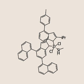 CC1=Cc2c(-c3cccc4ccccc34)cc(-c3cccc4ccccc34)cc2[CH]1[Zr]([Cl])([Cl])([CH]1C(C(C)C)=Cc2c(-c3ccc(C)cc3)cccc21)[SiH](C)C